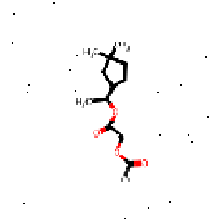 CCC(=O)OCC(=O)OC(C)C1CCC(C)(C)C1